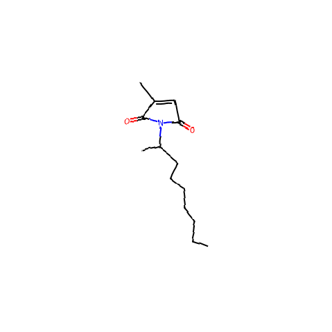 CCCCCCCC(C)N1C(=O)C=C(C)C1=O